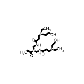 C=CC(=O)N(CNC(=O)CCN(CC)CCO)CNC(=O)CCN(CC)CCO